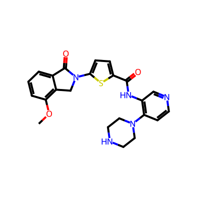 COc1cccc2c1CN(c1ccc(C(=O)Nc3cnccc3N3CCNCC3)s1)C2=O